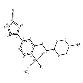 Cl.NC1CCC(CCc2cc(-c3n[nH]c(=O)o3)ccc2C(F)(F)F)CC1